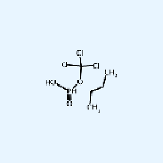 CCCC.O=[PH](O)OC(Cl)(Cl)Cl